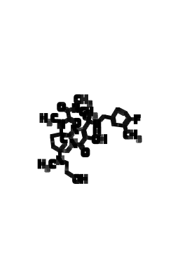 Cc1cc(CNC(=O)c2nc3n(c(=O)c2O)CC2(N(C)CCO)CCC3(N(C)C(=O)C(=O)N(C)C)CC2)ccc1F